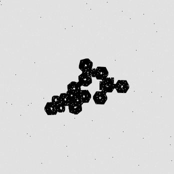 c1ccc(-c2cc(-c3ccccc3)nc(-c3cccc(-n4c5ccccc5c5cc(-c6ccc7c(c6)C6(c8ccccc8-c8ccccc86)c6cc8c(cc6-7)Oc6ccccc6O8)ccc54)c3)n2)cc1